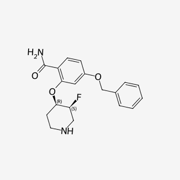 NC(=O)c1ccc(OCc2ccccc2)cc1O[C@@H]1CCNC[C@@H]1F